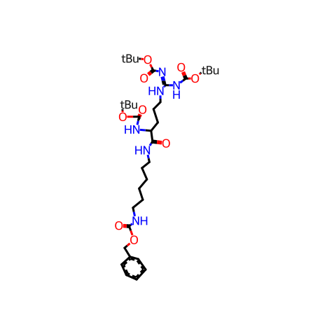 CC(C)(C)OC(=O)/N=C(\NCCCC(NC(=O)OC(C)(C)C)C(=O)NCCCCCCNC(=O)OCc1ccccc1)NC(=O)OC(C)(C)C